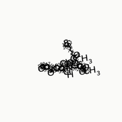 CC(OC(=O)CCCCC1CCSS1)OC(=O)C(Cc1cccc(S(C)(=O)=O)c1)NC(=O)c1c(Cl)cc2c(c1Cl)CCN(C(=O)c1ccc3ccoc3c1)C2